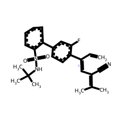 C=C/C(=C\C(C#N)=C(C)C)c1ccc(-c2ccccc2S(=O)(=O)NC(C)(C)C)cc1F